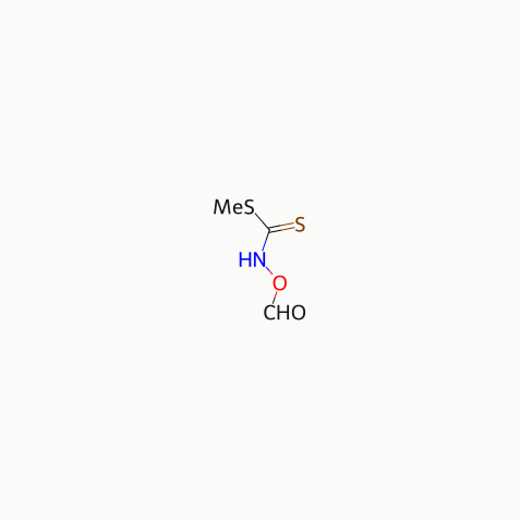 CSC(=S)NOC=O